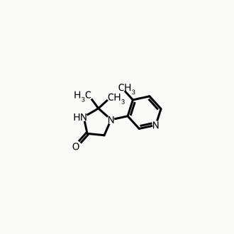 Cc1ccncc1N1CC(=O)NC1(C)C